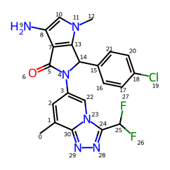 Cc1cc(N2C(=O)c3c(N)cn(C)c3C2c2ccc(Cl)cc2)cn2c(C(F)F)nnc12